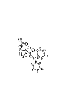 CC1(C(=O)OC(c2ccccc2)c2ccccc2)COC(=O)OC1